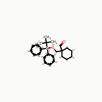 CC(C)(C)[Si](OCC1(C=O)CCCCC1)(c1ccccc1)c1ccccc1